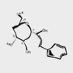 OC(=Cc1ccccc1)[C@H]1O[C@H](O)C[C@@H](O)[C@@H]1O